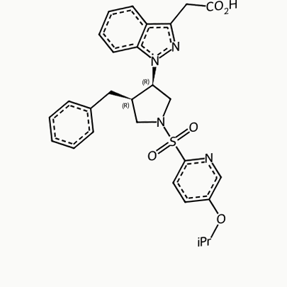 CC(C)Oc1ccc(S(=O)(=O)N2C[C@@H](Cc3ccccc3)[C@@H](n3nc(CC(=O)O)c4ccccc43)C2)nc1